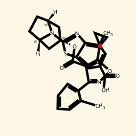 Cc1ccccc1-c1noc(C2CC2)c1C(=O)O[C@H]1C[C@H]2CC[C@@H](C1)N2c1nc2c(C)cc(C(=O)O)cc2s1